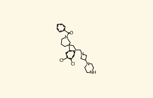 O=C(c1ccccc1)N1CCCC(CCCN2CC(N3CCNCC3)C2)(c2ccc(Cl)c(Cl)c2)C1